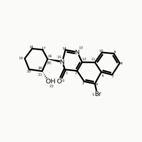 O=c1c2cc(Br)c3ccccc3c2ncn1[C@@H]1CCCC[C@H]1O